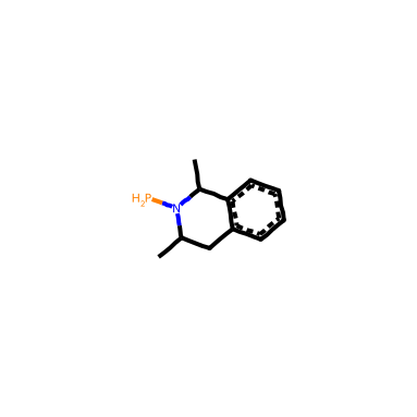 CC1Cc2ccccc2C(C)N1P